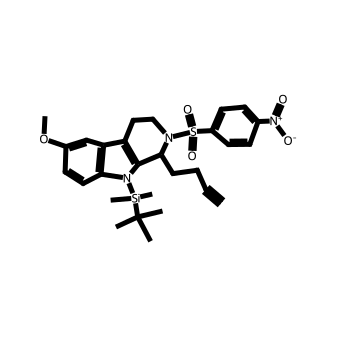 C#CCCC1c2c(c3cc(OC)ccc3n2[Si](C)(C)C(C)(C)C)CCN1S(=O)(=O)c1ccc([N+](=O)[O-])cc1